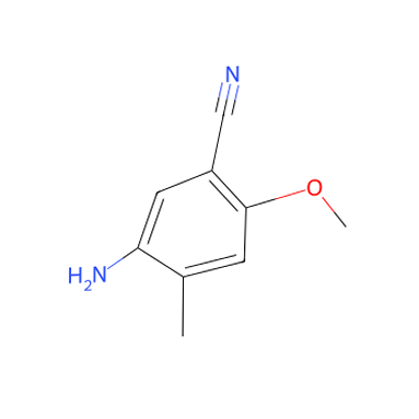 COc1cc(C)c(N)cc1C#N